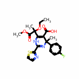 CCOC(C)(C(=O)OC)C1=C(C(=O)O)C(C)(c2ccc(F)cc2)N=C(c2nccs2)N1